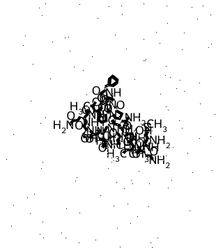 CC[C@H](C)[C@H](NC(=O)[C@H](CC(N)=O)NC(=O)[C@@H](N)CCSC)C(=O)N[C@@H](CO)C(=O)N[C@H](C(=O)N[C@@H](CC(N)=O)C(=O)NCC(=O)N[C@@H](CCC(N)=O)C(=O)N[C@@H](CO)C(=O)N[C@@H](CCC(N)=O)C(=O)N[C@H](C(=O)N1CCC[C@H]1C(=O)N1CCC[C@H]1C(=O)NCC(=O)N[C@@H](Cc1ccccc1)C(=O)O)C(C)C)C(C)C